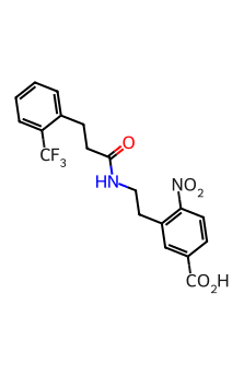 O=C(CCc1ccccc1C(F)(F)F)NCCc1cc(C(=O)O)ccc1[N+](=O)[O-]